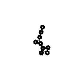 CC12C=CC=CC1c1ccccc1-c1cc(-c3ccc4c(c3)c3ccccc3n4-c3ccc(-c4ccc(-c5ccccc5)cc4)cc3)cc3c4ccccc4n2c13